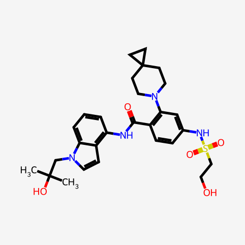 CC(C)(O)Cn1ccc2c(NC(=O)c3ccc(NS(=O)(=O)CCO)cc3N3CCC4(CC3)CC4)cccc21